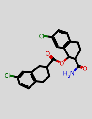 NC(=O)C1CCc2ccc(Cl)cc2C1OC(=O)C1CCc2ccc(Cl)cc2C1